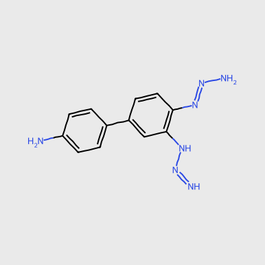 N=NNc1cc(-c2ccc(N)cc2)ccc1N=NN